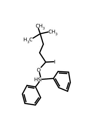 CC(C)(C)CCC(I)O[SiH](c1ccccc1)c1ccccc1